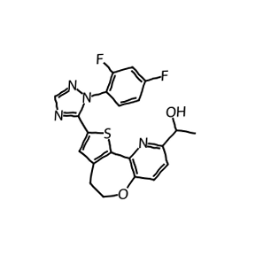 CC(O)c1ccc2c(n1)-c1sc(-c3ncnn3-c3ccc(F)cc3F)cc1CCO2